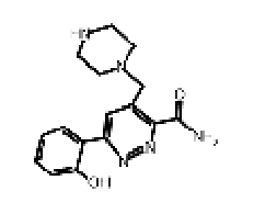 NC(=O)c1nnc(-c2ccccc2O)cc1CN1CCNCC1